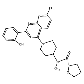 Cc1ccc2c(N3CCC(N(C)C(=O)[C@@H]4CCCO4)CC3)nc(-c3ccccc3O)nc2c1